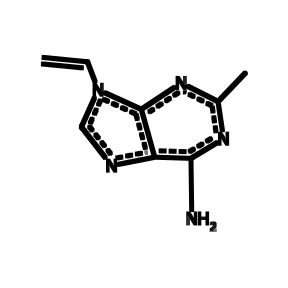 C=Cn1cnc2c(N)nc(C)nc21